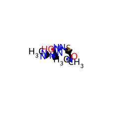 CN(C)C(=O)c1csc(Nc2nc(O)c3c(ccn3-c3cnn(C)c3)n2)c1